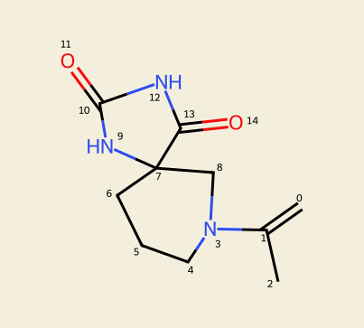 C=C(C)N1CCCC2(C1)NC(=O)NC2=O